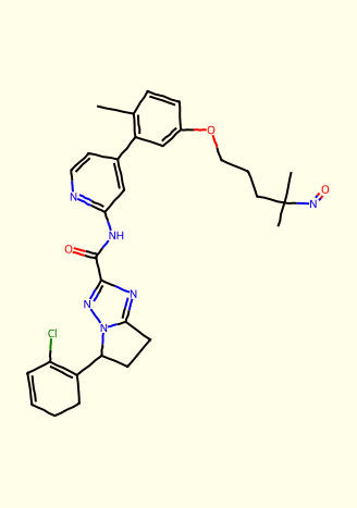 Cc1ccc(OCCCC(C)(C)N=O)cc1-c1ccnc(NC(=O)c2nc3n(n2)C(C2=C(Cl)C=CCC2)CC3)c1